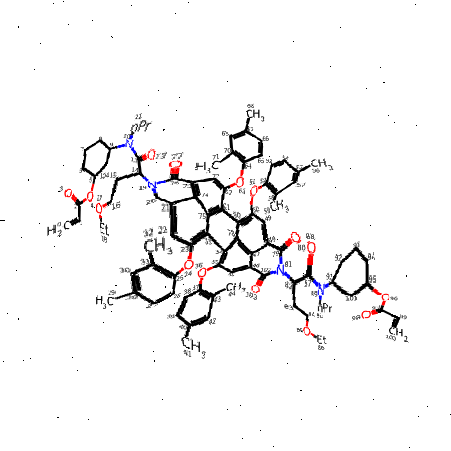 C=CC(=O)OC1CCCC(N(CCC)C(=O)C(CCOCC)N2Cc3cc(Oc4ccc(C)cc4C)c4c5c(Oc6ccc(C)cc6C)cc6c7c(cc(Oc8ccc(C)cc8C)c(c8c(Oc9ccc(C)cc9C)cc(c3c48)C2=O)c75)C(=O)N(C(CCOCC)C(=O)N(CCC)C2CCCC(OC(=O)C=C)C2)C6=O)C1